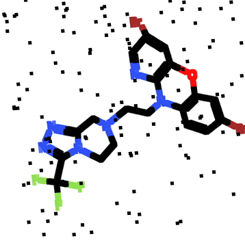 FC(F)(F)c1nnc2n1CCN(CCN1c3ccc(Br)cc3Oc3cc(Br)cnc31)C2